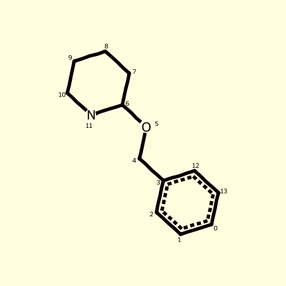 c1ccc(COC2CCCC[N]2)cc1